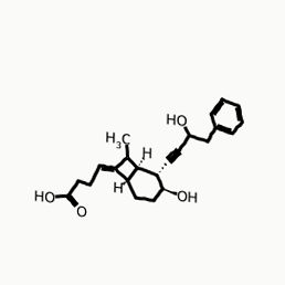 CC1/C(=C/CCC(=O)O)[C@@H]2CC[C@H](O)[C@@H](C#CC(O)Cc3ccccc3)[C@H]12